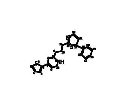 C1=C(c2cccs2)CC(CCCc2cc(-c3ccccc3)ccn2)NC1